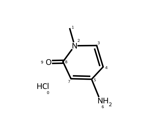 Cl.Cn1ccc(N)cc1=O